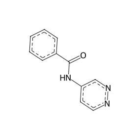 O=C(Nc1ccnnc1)c1ccccc1